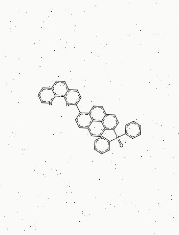 O=P(c1ccccc1)(c1ccccc1)c1ccc2ccc3c(-c4ccc5ccc6cccnc6c5n4)ccc4ccc1c2c43